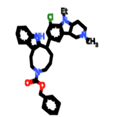 CCN1c2c(Cl)cc(C3CCCN(C(=O)OCc4ccccc4)CCc4c3[nH]c3ccccc43)cc2C2CN(C)CCC21